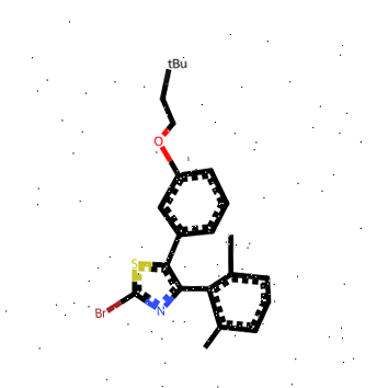 Cc1cccc(C)c1-c1nc(Br)sc1-c1cccc(OCCC(C)(C)C)c1